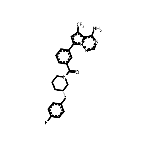 Nc1ncnn2c(-c3cccc(C(=O)N4CCC[C@@H](Cc5ccc(F)cc5)C4)c3)cc(C(F)(F)F)c12